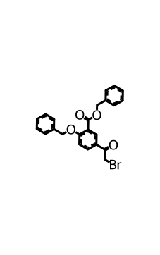 O=C(CBr)c1ccc(OCc2ccccc2)c(C(=O)OCc2ccccc2)c1